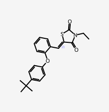 CCN1C(=O)S/C(=C\c2ccccc2Oc2ccc(C(C)(C)C)cc2)C1=O